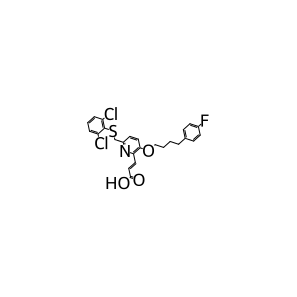 O=C(O)C=Cc1nc(CSc2c(Cl)cccc2Cl)ccc1OCCCCc1ccc(F)cc1